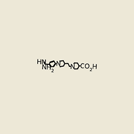 N=C(N)c1ccc(N2CCC(CCN3CCC(C(=O)O)CC3)CC2)cc1